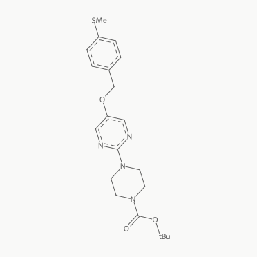 CSc1ccc(COc2cnc(N3CCN(C(=O)OC(C)(C)C)CC3)nc2)cc1